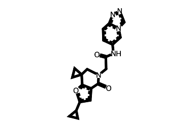 O=C(CN1CC2(CC2)c2oc(C3CC3)cc2C1=O)Nc1ccc2nncn2c1